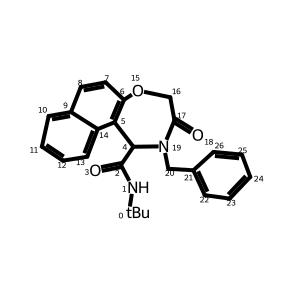 CC(C)(C)NC(=O)C1c2c(ccc3ccccc23)OCC(=O)N1Cc1ccccc1